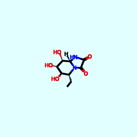 CC[C@@H]1[C@@H](O)[C@H](O)[C@H](O)[C@H]2NC(=O)C(=O)N12